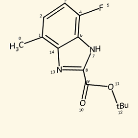 Cc1ccc(F)c2[nH]c(C(=O)OC(C)(C)C)nc12